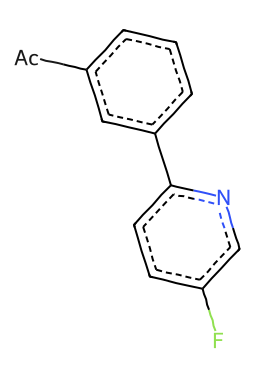 CC(=O)c1cccc(-c2ccc(F)cn2)c1